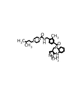 Cc1cc(C(=O)N2Cc3cnn(C)c3Nc3ccccc32)ccc1CNC(=O)N1CCN(CCC(C)C)CC1